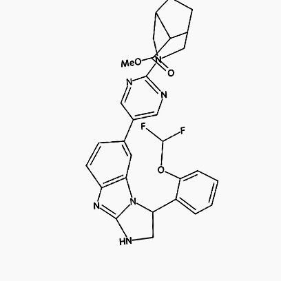 COC(=O)C1C2CCC1CN(c1ncc(-c3ccc4nc5n(c4c3)C(c3ccccc3OC(F)F)CN5)cn1)C2